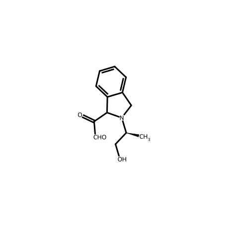 C[C@@H](CO)N1Cc2ccccc2C1C(=O)C=O